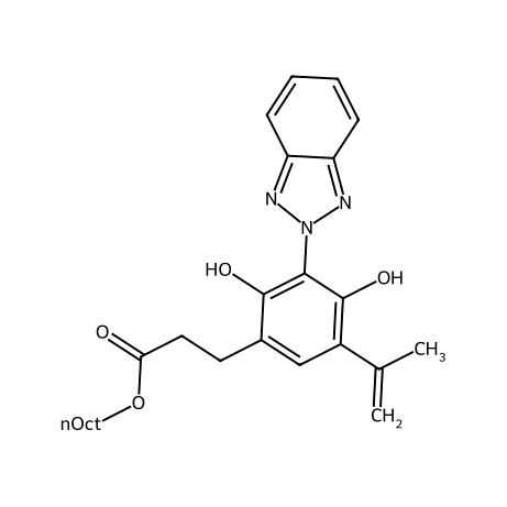 C=C(C)c1cc(CCC(=O)OCCCCCCCC)c(O)c(-n2nc3ccccc3n2)c1O